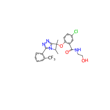 CC1n2c(-c3ccccc3C(F)(F)F)nnc2C1(C)Oc1ccc(Cl)cc1C(=O)NCCO